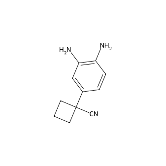 N#CC1(c2ccc(N)c(N)c2)CCC1